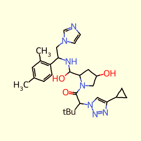 Cc1ccc(C(Cn2ccnc2)NC(O)C2CC(O)CN2C(=O)C(n2cc(C3CC3)nn2)C(C)(C)C)c(C)c1